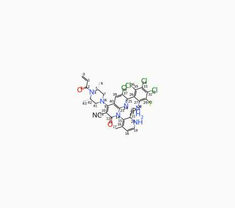 C=CC(=O)N1[C@H](C)CN(c2c(C#N)c(=O)n(C3=C(C)C=CN[C@@H]3C(C)C)c3nc(-c4c(N)c(F)c(Cl)c(Cl)c4Cl)c(Cl)cc23)C[C@@H]1C